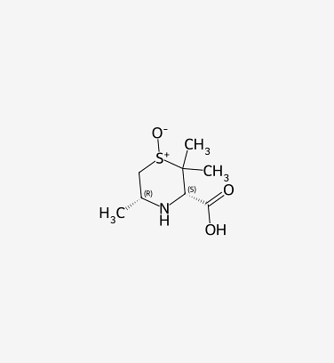 C[C@@H]1C[S+]([O-])C(C)(C)[C@H](C(=O)O)N1